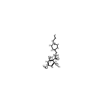 CCCN1CCC(CNC(=O)c2c(S)cc(OC)cc2OC)CC1